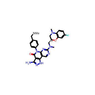 CNCc1ccc(-n2c(=O)c3c(N)n[nH]c3c3cnc(N(C)C[C@H]4CN(C)c5ccc(F)cc5O4)nc32)cc1